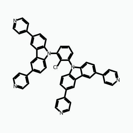 Clc1c(-n2c3ccc(-c4ccncc4)cc3c3cc(-c4ccncc4)ccc32)cccc1-n1c2ccc(-c3ccncc3)cc2c2cc(-c3ccncc3)ccc21